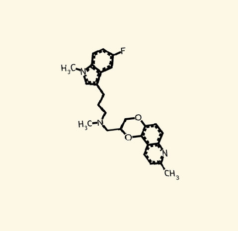 Cc1ccc2c3c(ccc2n1)OCC(CN(C)CCCc1cn(C)c2ccc(F)cc12)O3